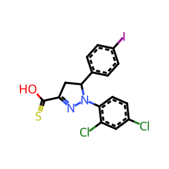 OC(=S)C1=NN(c2ccc(Cl)cc2Cl)C(c2ccc(I)cc2)C1